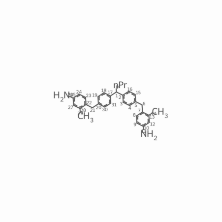 CCCC(c1ccc(Cc2ccc(N)cc2C)cc1)c1ccc(Cc2ccc(N)cc2C)cc1